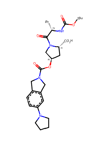 CC(C)[C@H](NC(=O)OC(C)(C)C)C(=O)N1C[C@H](OC(=O)N2Cc3ccc(N4CCCC4)cc3C2)C[C@H]1C(=O)O